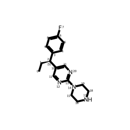 CC[C@@H](c1ccc(F)cc1)c1cnc(N2CCNCC2)nc1